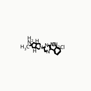 CC1(N)C[C@H]2CN(c3cnc(-c4cccc(Cl)c4Cl)c(N)n3)C[C@H]2C1